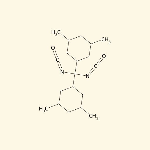 CC1CC(C)CC(C(N=C=O)(N=C=O)C2CC(C)CC(C)C2)C1